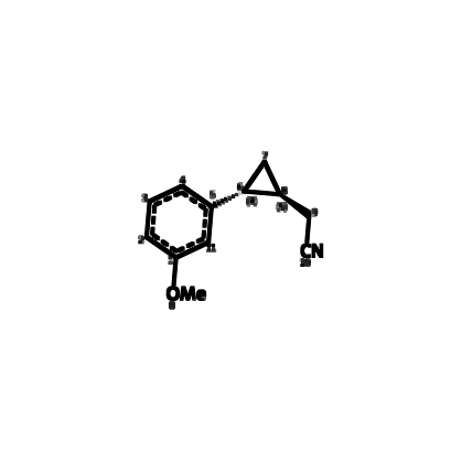 COc1cccc([C@@H]2C[C@H]2CC#N)c1